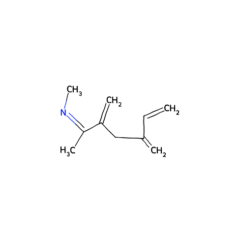 C=CC(=C)CC(=C)/C(C)=N\C